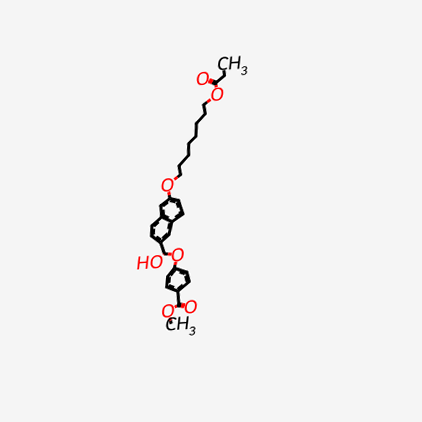 CCC(=O)OCCCCCCCCOc1ccc2cc(C(O)Oc3ccc(C(=O)OC)cc3)ccc2c1